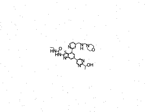 CCNC(=O)Nc1nc2cc(-c3cnc(C(C)O)nc3)cc(-c3cc(CNCN4CCOCC4)ccn3)c2s1